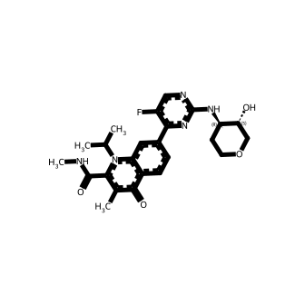 CNC(=O)c1c(C)c(=O)c2ccc(-c3nc(N[C@@H]4CCOC[C@H]4O)ncc3F)cc2n1C(C)C